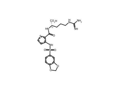 N=C(N)NCCC[C@H](NC(=O)c1sccc1NS(=O)(=O)c1ccc2c(c1)OCO2)C(=O)O